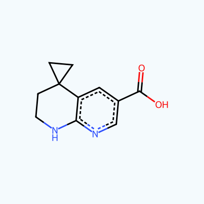 O=C(O)c1cnc2c(c1)C1(CCN2)CC1